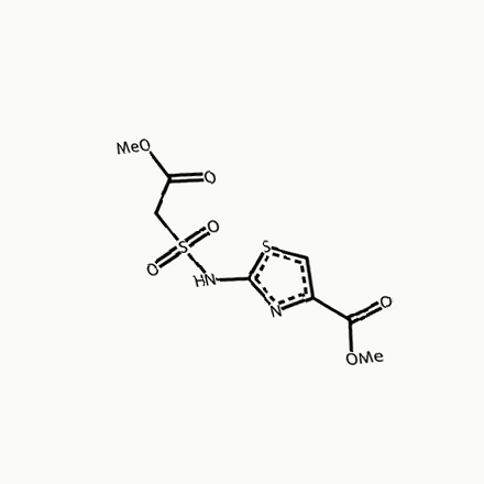 COC(=O)CS(=O)(=O)Nc1nc(C(=O)OC)cs1